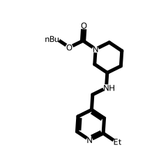 CCCCOC(=O)N1CCCC(NCc2ccnc(CC)c2)C1